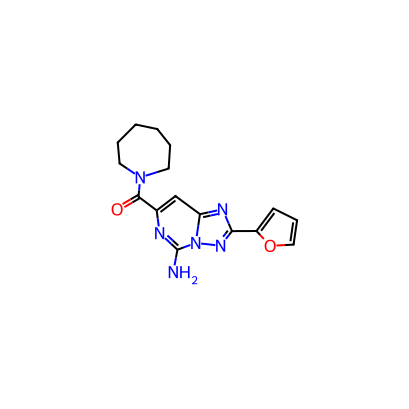 Nc1nc(C(=O)N2CCCCCC2)cc2nc(-c3ccco3)nn12